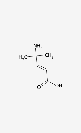 CC(C)(N)C=CC(=O)O